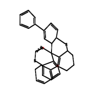 C1=CCCC(C2=C3C(CCC2)SC2C=CC(c4ccccc4)=CC2C32c3ccccc3Sc3ccccc32)=C1